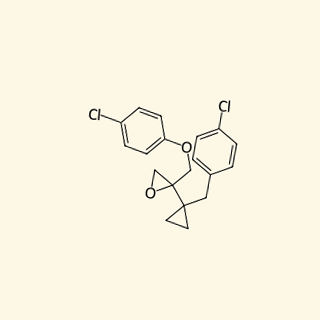 Clc1ccc(CC2(C3(COc4ccc(Cl)cc4)CO3)CC2)cc1